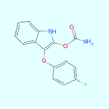 NC(=O)Oc1[nH]c2ccccc2c1Oc1ccc(F)cc1